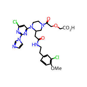 COc1ccc(CCNC(=O)CC2CN(C(=O)COCC(=O)O)CCN2c2cc(Cl)nc(-n3ccnc3)n2)cc1Cl